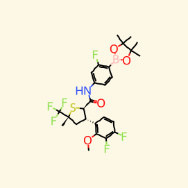 COc1c([C@@H]2C[C@](C)(C(F)(F)F)S[C@H]2C(=O)Nc2ccc(B3OC(C)(C)C(C)(C)O3)c(F)c2)ccc(F)c1F